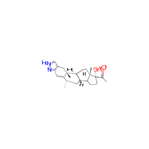 CC(=O)[C@@]1(O)CC[C@H]2[C@@H]3C[C@H](C)C4=Cc5n[nH]cc5C[C@]4(C)[C@H]3CC[C@@]21C